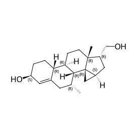 C[C@@H]1CC2=C[C@@H](O)CC[C@@H]2[C@H]2CC[C@]3(C)[C@H](CO)C[C@H]4C[C@]43[C@@H]21